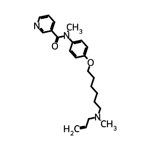 C=CCN(C)CCCCCCOc1ccc(N(C)C(=O)c2cccnc2)cc1